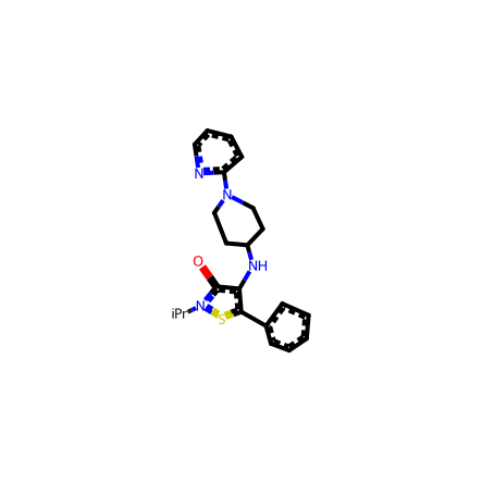 CC(C)n1sc(-c2ccccc2)c(NC2CCN(c3ccccn3)CC2)c1=O